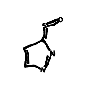 O=S=C1C=CN=N1